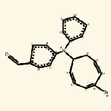 O=Cc1ccc(N(c2ccccc2)C2C=C/C=C(Br)\C=C/C2)cc1